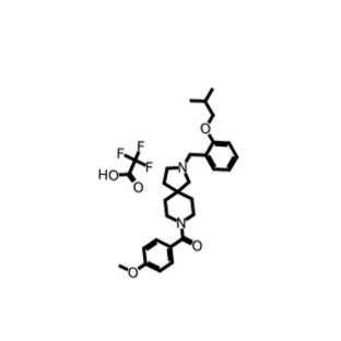 COc1ccc(C(=O)N2CCC3(CCN(Cc4ccccc4OCC(C)C)C3)CC2)cc1.O=C(O)C(F)(F)F